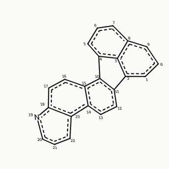 c1cc2c3c(cccc3c1)-c1c-2ccc2c1ccc1ncccc12